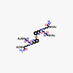 CC(=O)NCC(=O)NCC(=O)N(CCCC[C@H](NC(C)=O)C(N)=O)Cc1cnc2c(SSc3cccc4cc(CN(CCCC[C@@H](NC(C)=O)C(N)=O)C(=O)CNC(=O)CNC(C)=O)cnc34)cccc2c1